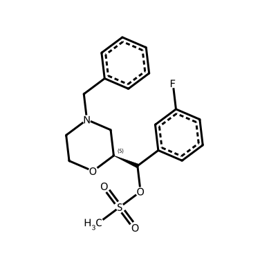 CS(=O)(=O)OC(c1cccc(F)c1)[C@@H]1CN(Cc2ccccc2)CCO1